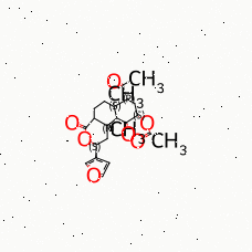 CC(=O)O[C@H]1C[C@@H](C(C)=O)[C@]2(C)CCC3C(=O)O[C@H](c4ccoc4)C[C@]3(C)C2C1=O